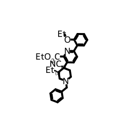 CCOC(=O)c1nc(-c2ccccc2OCC)ccc1[C@]1(C#N)CCN(Cc2ccccc2)C[C@H]1CC